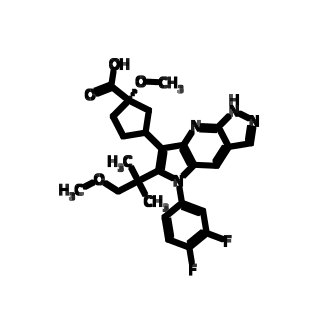 COCC(C)(C)c1c(C2CC[C@@](OC)(C(=O)O)C2)c2nc3[nH]ncc3cc2n1-c1ccc(F)c(F)c1